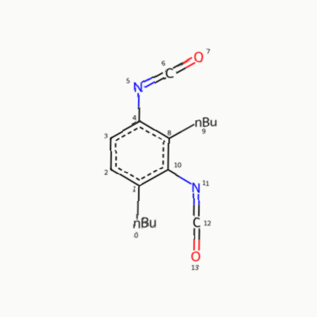 CCCCc1ccc(N=C=O)c(CCCC)c1N=C=O